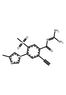 C#Cc1cc(-n2cnc(C)c2)c(S(C)(=O)=O)cc1C(=O)N=C(N)N